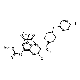 CN(C)c1c2n(OC(=O)OC(C)(C)C)c3cc(Cl)c(C(=O)N4CCC(Cc5ccc(F)cc5)CC4)c(c13)C(=O)C2=O